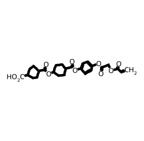 C=CC(=O)OCC(=O)Oc1ccc(OC(=O)C2CCC(OC(=O)C3CCC(C(=O)O)CC3)CC2)cc1